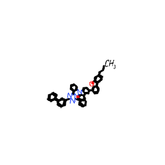 CCCCc1ccc2c(c1)oc1c(-c3ccc4c(c3)c3ccccc3n4-c3ccccc3-c3nc(-c4ccccc4)nc(-c4cccc(-c5ccccc5)c4)n3)cccc12